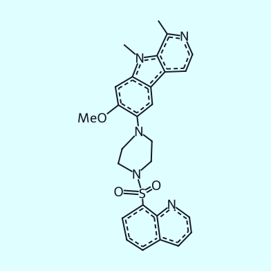 COc1cc2c(cc1N1CCN(S(=O)(=O)c3cccc4cccnc34)CC1)c1ccnc(C)c1n2C